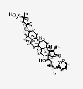 CC(C)C1=C2[C@H]3CC[C@@H]4[C@@]5(C)CC[C@H](OC(=O)CC(C)(C)C(=O)O)C(C)(C)[C@@H]5CC[C@@]4(C)[C@]3(C)CC[C@@]2([C@H](O)CN[C@@H](C)c2ccccn2)CC1=O